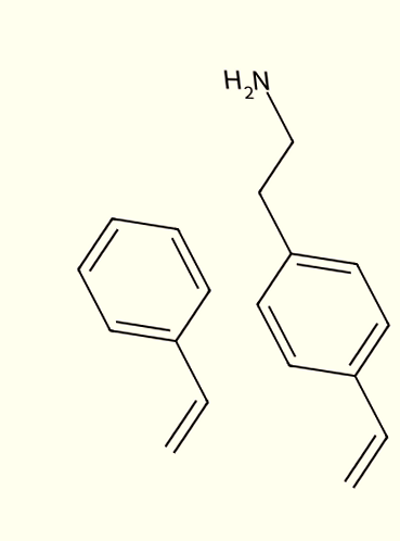 C=Cc1ccc(CCN)cc1.C=Cc1ccccc1